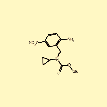 CC(C)(C)OC(=O)N(Cc1cc(C(=O)O)ccc1N)C1CC1